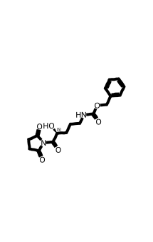 O=C(NCCC[C@H](O)C(=O)N1C(=O)CCC1=O)OCc1ccccc1